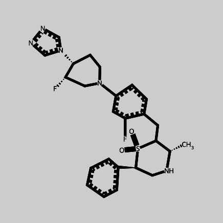 C[C@@H]1NC[C@@H](c2ccccc2)S(=O)(=O)C1Cc1ccc(N2CC[C@@H](n3cnnc3)[C@@H](F)C2)cc1F